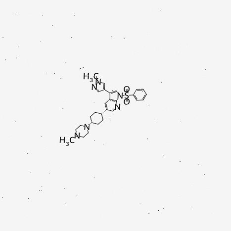 CN1CCN([C@H]2CC[C@@H](c3cnc4c(c3)c(-c3cnn(C)c3)cn4S(=O)(=O)c3ccccc3)CC2)CC1